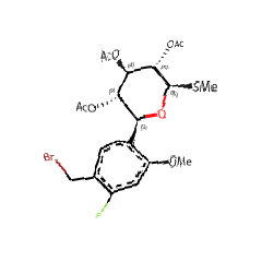 COc1cc(F)c(CBr)cc1[C@@H]1O[C@H](SC)[C@@H](OC(C)=O)[C@H](OC(C)=O)[C@H]1OC(C)=O